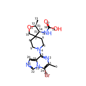 Cc1nc(N2CCC3(CC2)CO[C@@H](C)[C@H]3NC(=O)O)c2cncn2c1Br